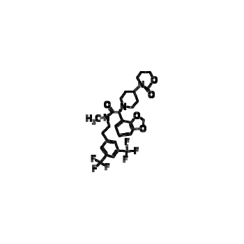 CN(CCc1cc(C(F)(F)F)cc(C(F)(F)F)c1)C(=O)[C@H](c1cccc2c1OCO2)N1CCC(N2CCCOC2=O)CC1